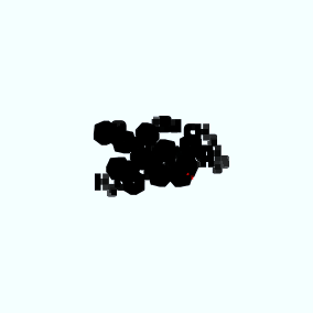 Cc1cc(C)c2c(c1)N(c1ccc3c(c1)N(c1cccc4c1sc1ccccc14)c1cc(N4c5ccccc5C5(C)CCCCC45C)cc4c1B3c1cc(C(C)(C)C)ccc1N4c1ccc3c(c1)oc1ccccc13)C1(C)CCCCC21C